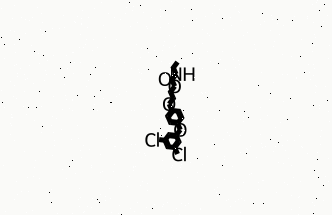 CCNC(=O)OCCOc1ccc(Oc2cc(Cl)cc(Cl)c2)cc1